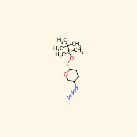 CC(C)(C)[Si](C)(C)OC[C@@H]1CCC(N=[N+]=[N-])CO1